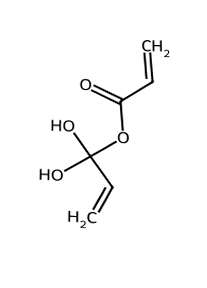 C=CC(=O)OC(O)(O)C=C